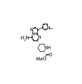 COC(=O)[C@@H]1CC[C@H](c2cc(N)n3ncc(-c4ccn(C)c4)c3n2)CN1